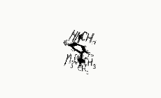 CNc1cc(F)c(C(C)(C)C)cc1F